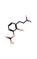 O=C(O)Oc1cccc(CCC(I)I)c1O